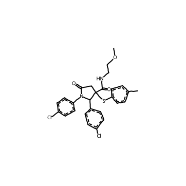 COCCNC(=O)C1(Sc2ccc(C)cc2)CC(=O)N(c2ccc(Cl)cc2)C1c1ccc(Cl)cc1